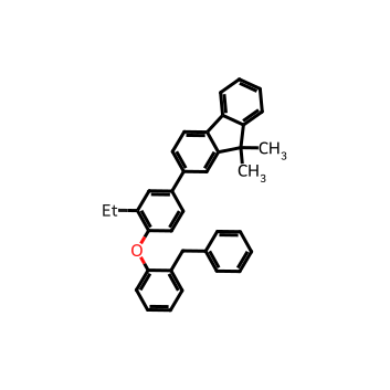 CCc1cc(-c2ccc3c(c2)C(C)(C)c2ccccc2-3)ccc1Oc1ccccc1Cc1ccccc1